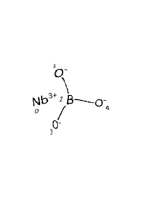 [Nb+3].[O-]B([O-])[O-]